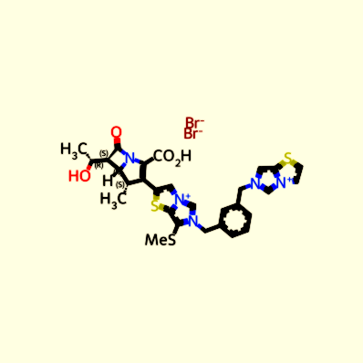 CSc1c2sc(C3=C(C(=O)O)N4C(=O)[C@H]([C@@H](C)O)[C@H]4[C@H]3C)c[n+]2cn1Cc1cccc(Cn2cc3scc[n+]3c2)c1.[Br-].[Br-]